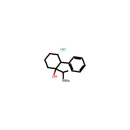 CNC(C)C1(O)CCCCC1c1ccccc1.Cl